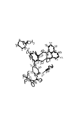 CN1CCC[C@H]1COc1nc2c(c(N3CCN(C(=O)[C@H]4O[C@H]4C(F)(F)F)[C@@H](CC#N)C3)n1)CCN(c1cccc3cccc(Cl)c13)C2